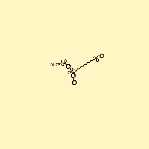 CCCCCCC(C)OC(=O)c1ccc(OC(=O)C2(OCCCCCCCCCCCOC(=O)CC3CCCC3)C=CC(c3ccccc3)C=C2)cc1